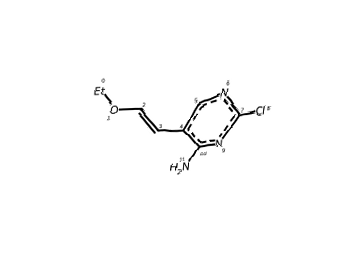 CCOC=Cc1cnc(Cl)nc1N